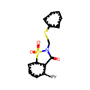 CC(C)c1cccc2c1C(=O)N(CSc1ccccc1)S2(=O)=O